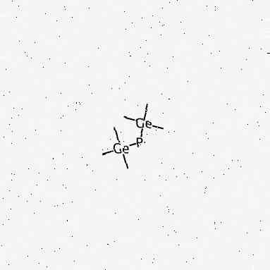 [CH3][Ge]([CH3])([CH3])[P][Ge]([CH3])([CH3])[CH3]